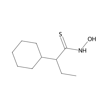 CCC(C(=S)NO)C1CCCCC1